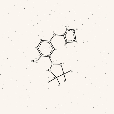 CC1(C)OB(c2cc(Oc3nncs3)ccc2C=O)OC1(C)C